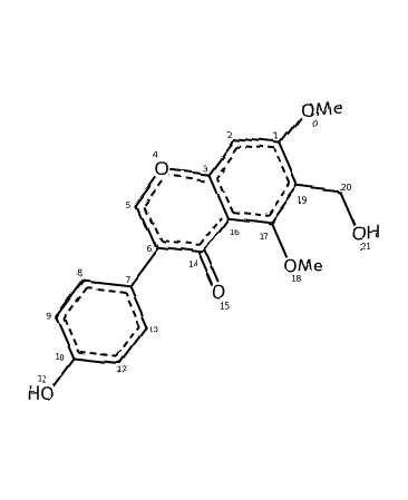 COc1cc2occ(-c3ccc(O)cc3)c(=O)c2c(OC)c1CO